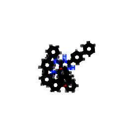 c1ccc(-c2ccc(C3NC(n4c5ccccc5c5ccc6c7ccccc7n(-c7cccc(-c8ccccc8)c7-c7ccccc7)c6c54)=NC(c4ccccc4)N3)cc2)cc1